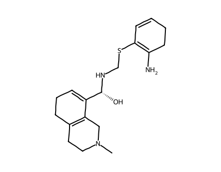 CN1CCC2=C(C1)C([C@@H](O)NCSC1=C(N)CCC=C1)=CCC2